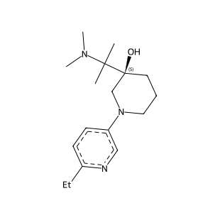 CCc1ccc(N2CCC[C@@](O)(C(C)(C)N(C)C)C2)cn1